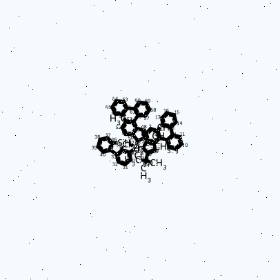 Cc1ccc2c(c1-c1ccccc1-c1ccccc1)C=C(C(C)(C)C)[CH]2[Zr]([Cl])([Cl])([c]1cccc2c1[SiH2]c1ccccc1-2)[CH]1C(C(C)(C)C)=Cc2c1ccc(C)c2-c1ccccc1-c1ccccc1